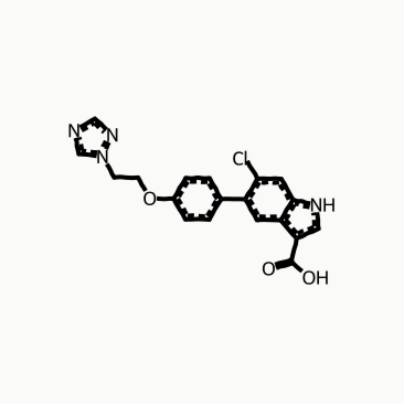 O=C(O)c1c[nH]c2cc(Cl)c(-c3ccc(OCCn4cncn4)cc3)cc12